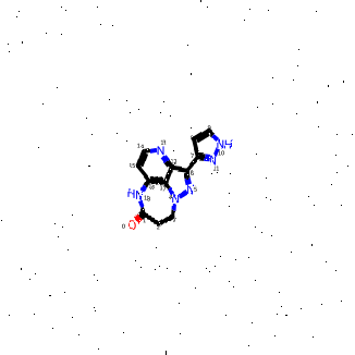 O=C1CCn2nc(-c3cc[nH]n3)c3nccc(c32)N1